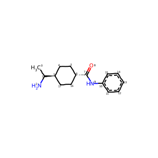 CC(N)[C@H]1CC[C@H](C(=O)Nc2ccccc2)CC1